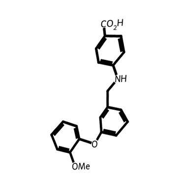 COc1ccccc1Oc1cccc(CNc2ccc(C(=O)O)cc2)c1